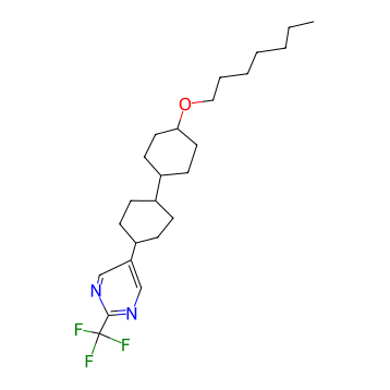 CCCCCCCOC1CCC(C2CCC(c3cnc(C(F)(F)F)nc3)CC2)CC1